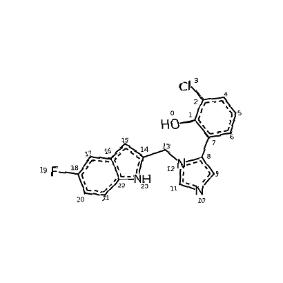 Oc1c(Cl)cccc1-c1cncn1Cc1cc2cc(F)ccc2[nH]1